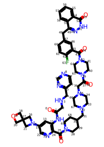 O=C(CNCc1ccncn1)Nc1cc(N2CC3(COC3)C2)cnc1C(=O)N1CCC(CN2CCN(CC(=O)N3CCN(C(=O)c4cc(Cc5n[nH]c(=O)c6ccccc56)ccc4F)CC3)CC2)CC1